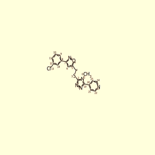 Cn1c(SCc2cc(-c3cccc(Cl)c3)no2)nnc1-c1ccncc1